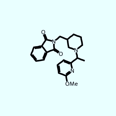 COc1cccc(C(C)N2CCCC(CN3C(=O)c4ccccc4C3=O)C2)n1